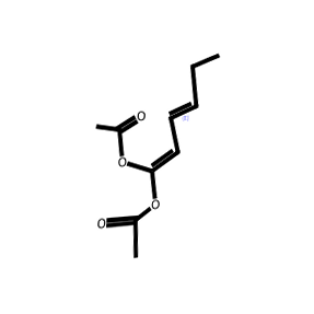 CC/C=C/C=C(OC(C)=O)OC(C)=O